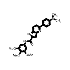 COc1cc(NC(=O)c2cc3nc(-c4ccc(N(C)C)cc4)ccc3[nH]2)cc(OC)c1OC